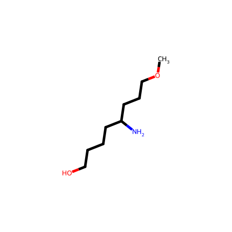 COCCCC(N)CCCCO